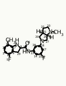 Cc1ccc(F)c2c1NC(C(=O)Nc1cc(F)cc(N3C[C@@H]4CCN(C)[C@@H]4C3)c1)C2